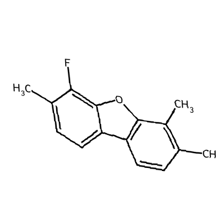 Cc1ccc2c(oc3c(F)c(C)ccc32)c1C